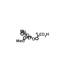 COc1ccc(C(=O)N(CC(C)(C)C)c2ccccn2)c(N2CC[C@@H](COc3cccc([C@@H](CC(=O)O)C4CC4)c3)[C@@H](C)C2)c1